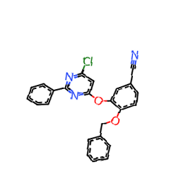 N#Cc1ccc(OCc2ccccc2)c(Oc2cc(Cl)nc(-c3ccccc3)n2)c1